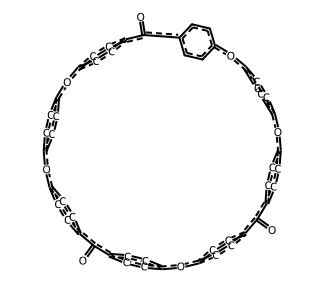 O=c1c2ccc(cc2)oc2ccc(cc2)oc2ccc(cc2)c(=O)c2ccc(cc2)oc2ccc(cc2)c(=O)c2ccc(cc2)oc2ccc(cc2)oc2ccc1cc2